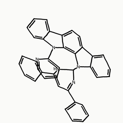 C1=C(c2ccccc2)NC(n2c3ccccc3c3ccc4c5ccccc5n(-c5ccccn5)c4c32)N=C1c1ccccc1